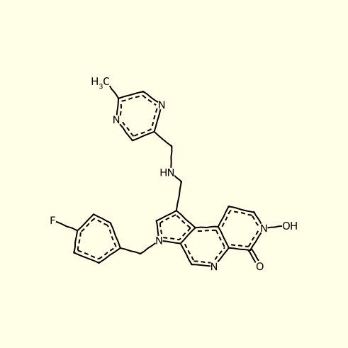 Cc1cnc(CNCc2cn(Cc3ccc(F)cc3)c3cnc4c(=O)n(O)ccc4c23)cn1